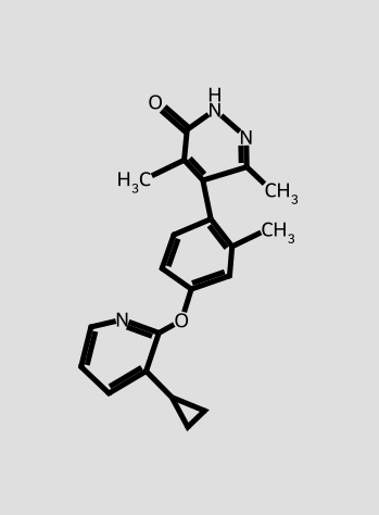 Cc1cc(Oc2ncccc2C2CC2)ccc1-c1c(C)n[nH]c(=O)c1C